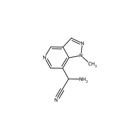 Cn1ncc2cncc(C(N)C#N)c21